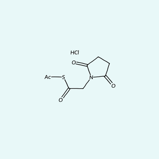 CC(=O)SC(=O)CN1C(=O)CCC1=O.Cl